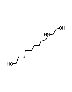 OCCCCCCCCCNCCO